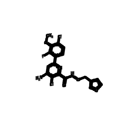 COc1c(Cl)ccc(-c2cc(N)c(Cl)c(C(=O)NOCc3ccoc3)n2)c1F